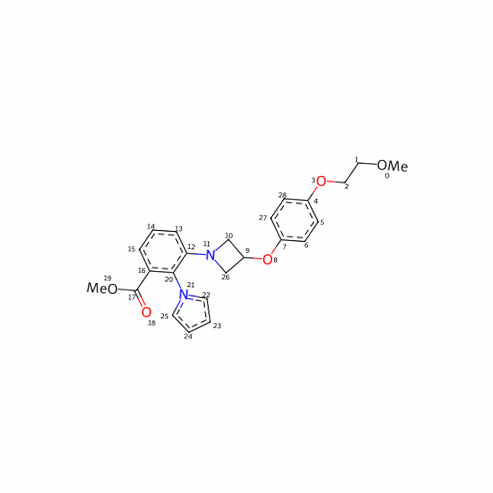 COCCOc1ccc(OC2CN(c3cccc(C(=O)OC)c3-n3cccc3)C2)cc1